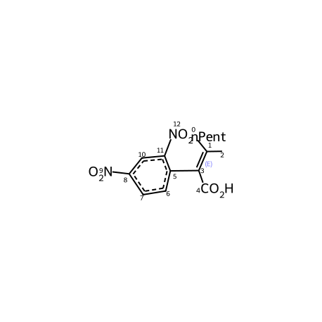 CCCCC/C(C)=C(/C(=O)O)c1ccc([N+](=O)[O-])cc1[N+](=O)[O-]